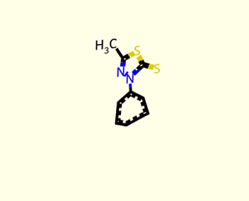 Cc1nn(-c2ccccc2)c(=S)s1